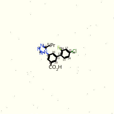 CC(C)c1nnnn1-c1cc(C(=O)O)cc(-c2ccc(Cl)cc2F)c1